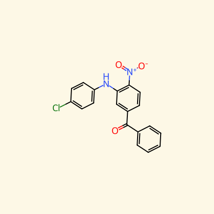 O=C(c1ccccc1)c1ccc([N+](=O)[O-])c(Nc2ccc(Cl)cc2)c1